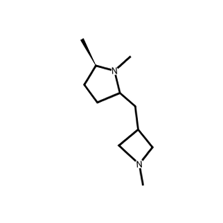 C[C@@H]1CCC(CC2CN(C)C2)N1C